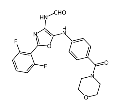 O=CNc1nc(-c2c(F)cccc2F)oc1Nc1ccc(C(=O)N2CCOCC2)cc1